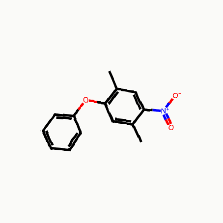 Cc1cc([N+](=O)[O-])c(C)cc1Oc1c[c]ccc1